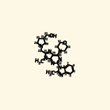 Cc1nc2ccccc2n1-c1nc(N2CCOCC2)c2nc(CN3CC[C@@H](CO)C3)n(C)c2n1